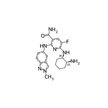 Cn1cc2cc(Nc3nc(N[C@@H]4CCCC[C@@H]4N)c(F)cc3C(N)=O)ccc2n1